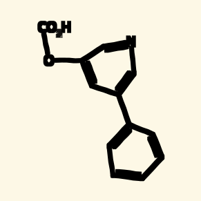 O=C(O)Oc1cncc(-c2ccccc2)c1